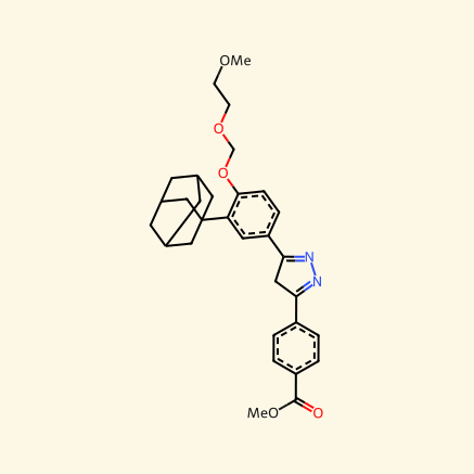 COCCOCOc1ccc(C2=NN=C(c3ccc(C(=O)OC)cc3)C2)cc1C12CC3CC(CC(C3)C1)C2